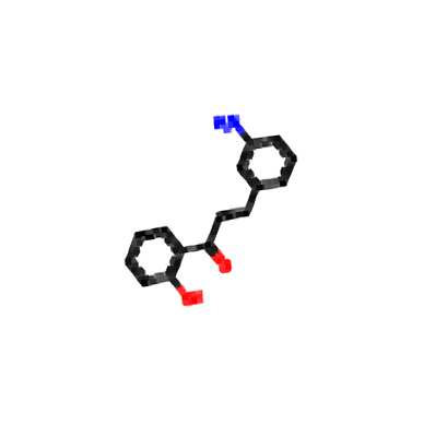 Nc1cccc(/C=C/C(=O)c2ccccc2O)c1